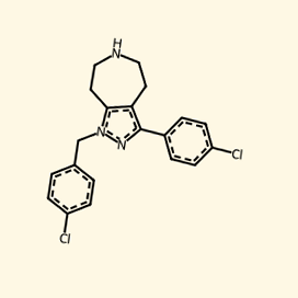 Clc1ccc(Cn2nc(-c3ccc(Cl)cc3)c3c2CCNCC3)cc1